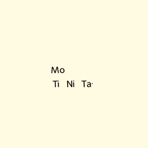 [Mo].[Ni].[Ta].[Ti]